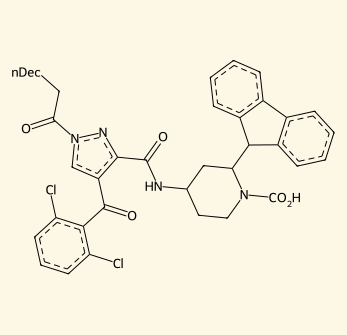 CCCCCCCCCCCC(=O)n1cc(C(=O)c2c(Cl)cccc2Cl)c(C(=O)NC2CCN(C(=O)O)C(C3c4ccccc4-c4ccccc43)C2)n1